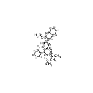 CNC(=O)[C@H](CC(C)C)C[C@H](O)[C@H](Cc1ccccc1)NC(=O)c1cc2ccccc2nc1OC